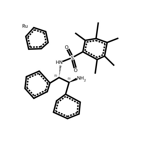 Cc1c(C)c(C)c(S(=O)(=O)N[C@@H](c2ccccc2)[C@@H](N)c2ccccc2)c(C)c1C.[Ru].c1ccccc1